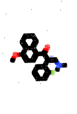 COc1ccc(C(=O)/C(=C/N(C)C)c2ccccc2F)c2ccccc12